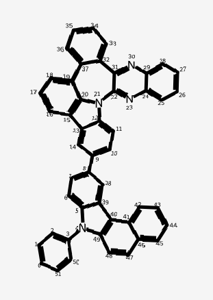 c1ccc(-n2c3ccc(-c4ccc5c(c4)c4cccc6c4n5-c4nc5ccccc5nc4-c4ccccc4-6)cc3c3c4ccccc4ccc32)cc1